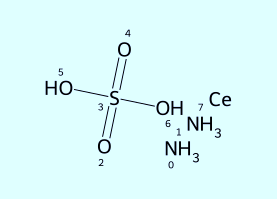 N.N.O=S(=O)(O)O.[Ce]